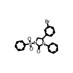 O=C1N(c2ccccc2)C(c2cccc(Br)c2)CN1S(=O)(=O)c1ccccc1